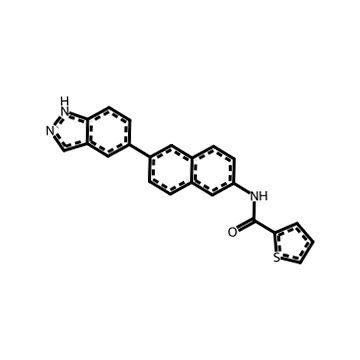 O=C(Nc1ccc2cc(-c3ccc4[nH]ncc4c3)ccc2c1)c1cccs1